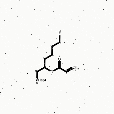 C=CC(=O)OC(CCCCF)CCCCCCCC